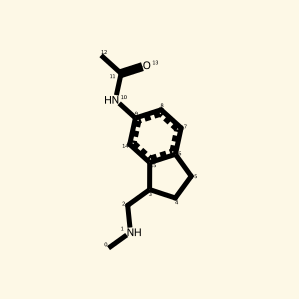 CNCC1CCc2ccc(NC(C)=O)cc21